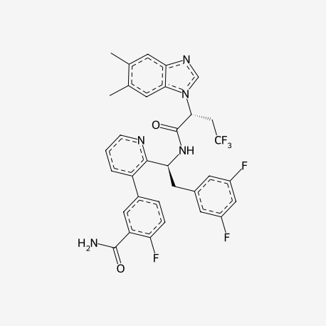 Cc1cc2ncn([C@H](CC(F)(F)F)C(=O)N[C@@H](Cc3cc(F)cc(F)c3)c3ncccc3-c3ccc(F)c(C(N)=O)c3)c2cc1C